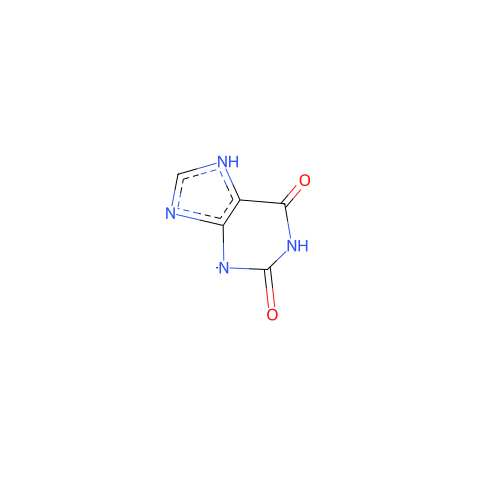 O=C1[N]c2nc[nH]c2C(=O)N1